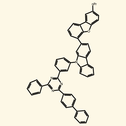 CCCc1ccc2oc3c(-c4ccc5c6ccccc6n(-c6cccc(-c7nc(-c8ccccc8)nc(-c8ccc(-c9ccccc9)cc8)n7)c6)c5c4)cccc3c2c1